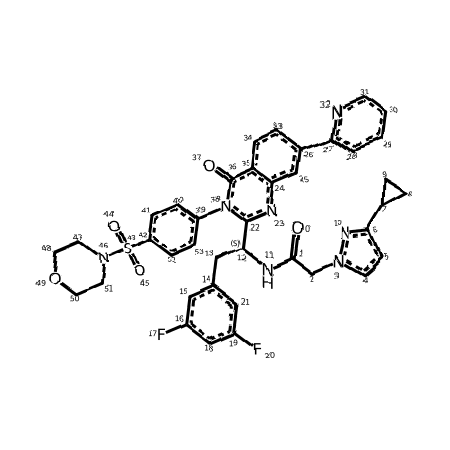 O=C(Cn1ccc(C2CC2)n1)N[C@@H](Cc1cc(F)cc(F)c1)c1nc2cc(-c3ccccn3)ccc2c(=O)n1-c1ccc(S(=O)(=O)N2CCOCC2)cc1